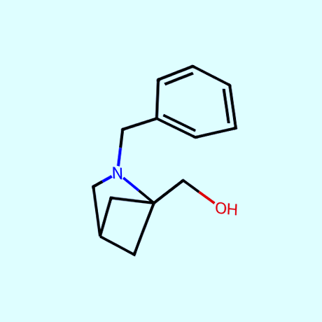 OCC12CC(CN1Cc1ccccc1)C2